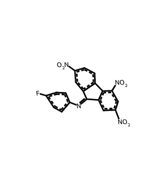 O=[N+]([O-])c1ccc2c(c1)/C(=N\c1ccc(F)cc1)c1cc([N+](=O)[O-])cc([N+](=O)[O-])c1-2